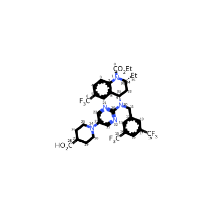 CCOC(=O)N1c2ccc(C(F)(F)F)cc2[C@@H](N(Cc2cc(C(F)(F)F)cc(C(F)(F)F)c2)c2ncc(N3CCC(C(=O)O)CC3)cn2)C[C@H]1CC